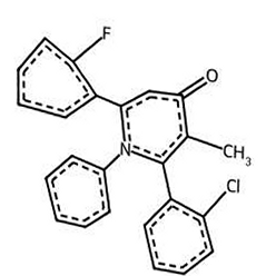 Cc1c(-c2ccccc2Cl)n(-c2ccccc2)c(-c2ccccc2F)cc1=O